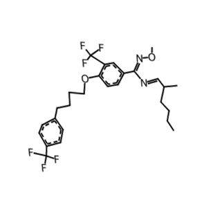 CCCCC(C)/C=N/C(=N\OC)c1ccc(OCCCCc2ccc(C(F)(F)F)cc2)c(C(F)(F)F)c1